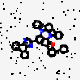 c1ccc(-c2cccc3c2oc2c(-n4c5ccccc5c5ccc6c7ccccc7n(-c7cccc(-c8cnc9c%10ccccc%10c%10ccccc%10c9n8)c7)c6c54)cccc23)cc1